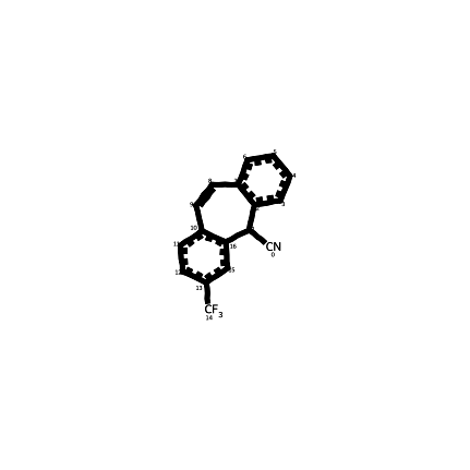 N#CC1c2ccccc2C=Cc2ccc(C(F)(F)F)cc21